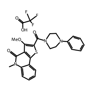 COc1c(C(=O)N2CCN(c3ccccc3)CC2)sc2c1c(=O)n(C)c1ccccc21.O=C(O)C(F)(F)F